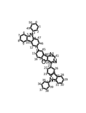 c1ccc(-n2c3ccccc3c3cc(-c4ccc5oc6c(-c7ccc8c(c7)c7ccccc7n8-c7ccccc7)ncnc6c5c4)ccc32)cc1